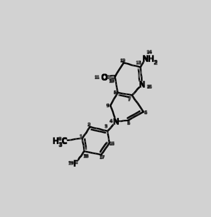 Cc1cc(N2C=CC3=C(C2)C(=O)CC(N)=N3)ccc1F